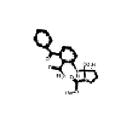 CC(C)(C)OC(=O)N1CCC[C@]1(Nc1cccc(C(=O)c2ccccc2)c1C(N)=O)C(=O)O